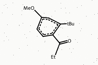 CCC(=O)c1ccc(OC)cc1C(C)(C)C